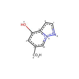 O=C(O)c1cc(O)c2ccnn2c1